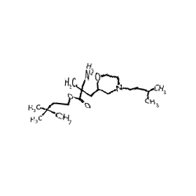 CC(C)CCN1CCOC(CC(C)(N)C(=O)OCCC(C)(C)C)C1